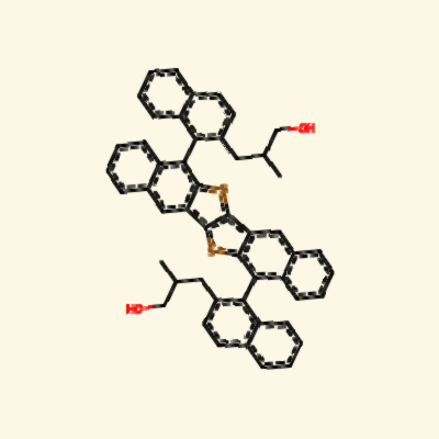 CC(CO)Cc1ccc2ccccc2c1-c1c2ccccc2cc2c1sc1c3cc4ccccc4c(-c4c(CC(C)CO)ccc5ccccc45)c3sc21